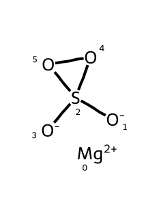 [Mg+2].[O-]S1([O-])OO1